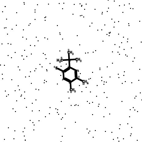 Cc1cc([S])c(C(C)(C)C)cc1C